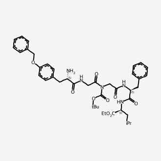 CCOC(=O)[C@H](CC(C)C)NC(=O)[C@H](Cc1ccccc1)NC(=O)CN(C(=O)CNC(=O)[C@@H](N)Cc1ccc(OCc2ccccc2)cc1)C(=O)OC(C)(C)C